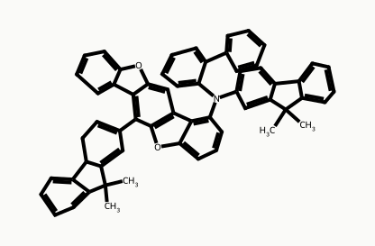 CC1(C)C2=CC(c3c4oc5cccc(N(c6ccc7c(c6)C(C)(C)c6ccccc6-7)c6ccccc6-c6ccccc6)c5c4cc4oc5ccccc5c34)=CCC2c2ccccc21